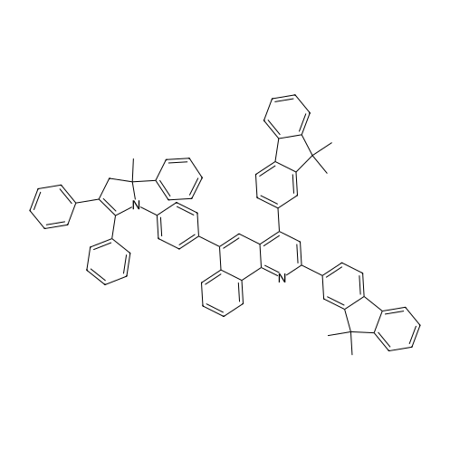 CC1(C)c2ccccc2-c2ccc(-c3cc(-c4ccc5c(c4)C(C)(C)c4ccccc4-5)c4cc(-c5ccc(N6C(c7ccccc7)=C(c7ccccc7)CC6(C)c6ccccc6)cc5)c5ccccc5c4n3)cc21